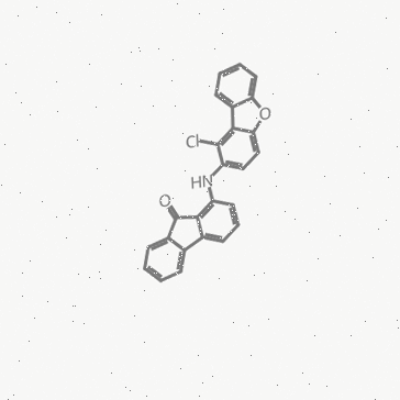 O=C1c2ccccc2-c2cccc(Nc3ccc4oc5ccccc5c4c3Cl)c21